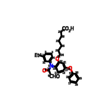 CCc1cccc(N(C(=O)C=O)c2ccc(Oc3ccccc3)cc2OCCCCCCC(=O)O)c1